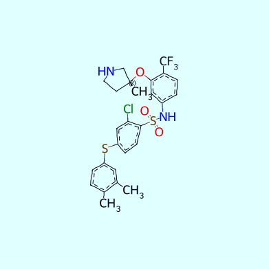 Cc1ccc(Sc2ccc(S(=O)(=O)Nc3ccc(C(F)(F)F)c(O[C@]4(C)CCNC4)c3)c(Cl)c2)cc1C